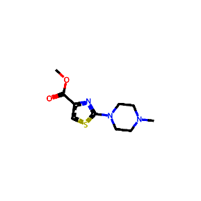 COC(=O)c1csc(N2CCN(C)CC2)n1